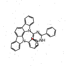 ClC1N=C(n2c3ccccc3c3ccc4c5ccccc5n(-c5ccccc5)c4c32)N=C(c2ccccc2)N1